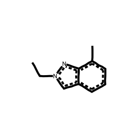 CCn1cc2cccc(C)c2n1